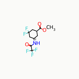 COC(=O)C1C[C@H](NC(=O)C(F)(F)F)CC(F)(F)C1